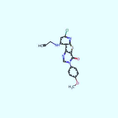 C#CCNc1cc(Cl)nc2sc3c(=O)n(-c4ccc(OC)cc4)cnc3c12